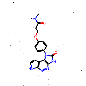 CN(C)C(=O)CCOc1ccc(-n2c(=O)[nH]c3nnc4[nH]ccc4c32)cc1